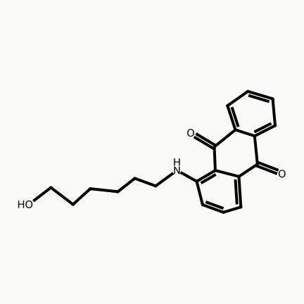 O=C1c2ccccc2C(=O)c2c(NCCCCCCO)cccc21